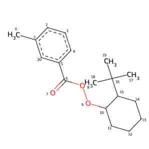 Cc1cccc(C(=O)OO[C]2CCCCC2C(C)(C)C)c1